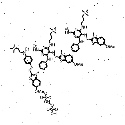 CCN(CC[N+](C)(C)C)c1ccc(N=Nc2sc3cc(OC)ccc3[n+]2C)cc1.CCNc1nc(NCCC[N+](C)(C)C)c(N=Nc2sc3cc(OC)ccc3[n+]2C)c(Nc2ccccc2)n1.CCNc1nc(NCCC[N+](C)(C)C)c(N=Nc2sc3cc(OC)ccc3[n+]2C)c(Nc2ccccc2)n1.COS(=O)(=O)O.COS(=O)(=O)O